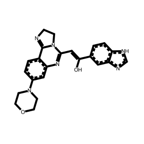 O/C(=C\C1=Nc2cc(N3CCOCC3)ccc2C2=NCCN12)c1ccc2[nH]cnc2c1